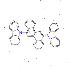 c1ccc2c(c1)c(-n1c3ccccc3c3ccccc31)cc1c3ccccc3c(-n3c4ccccc4c4ccccc43)cc21